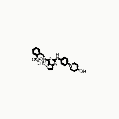 CS(=O)(=O)c1ccccc1CNc1nc(Nc2ccc(N3CCC(O)CC3)cc2)nc2ccsc12